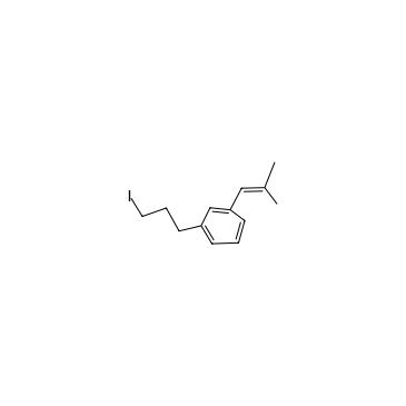 CC(C)=Cc1cccc(CCCI)c1